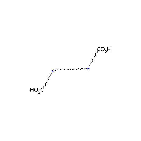 O=C(O)CCCCCCCCCCC/C=C\CCCCCCCCCCCCCCCCCC/C=C\CCCCCCCCCCCC(=O)O